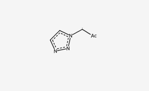 CC(=O)[CH]n1ccnn1